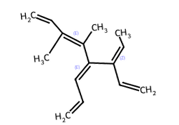 C=C/C=C(C(\C=C)=C/C)/C(C)=C(\C)C=C